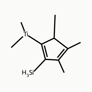 CC1=C(C)C(C)[C]([Ti]([CH3])[CH3])=C1[SiH3]